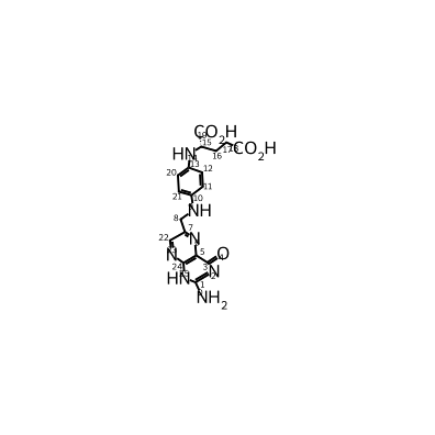 Nc1nc(=O)c2nc(CNc3ccc(N[C@@H](CCC(=O)O)C(=O)O)cc3)cnc2[nH]1